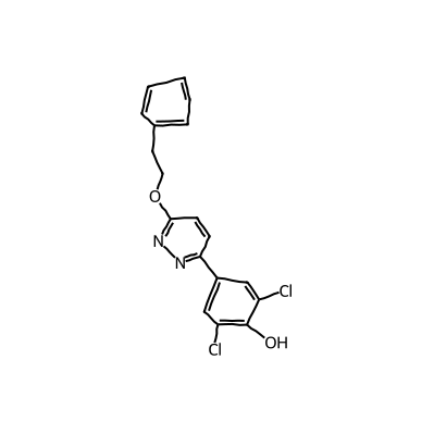 Oc1c(Cl)cc(-c2ccc(OCCc3ccccc3)nn2)cc1Cl